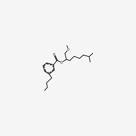 CCCCc1cccc(C(=O)OC(CCCCC(C)C)COC)c1